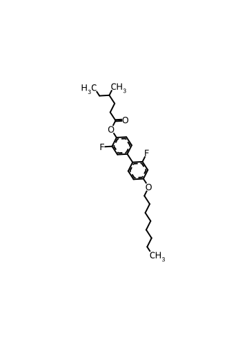 CCCCCCCCOc1ccc(-c2ccc(OC(=O)CCC(C)CC)c(F)c2)c(F)c1